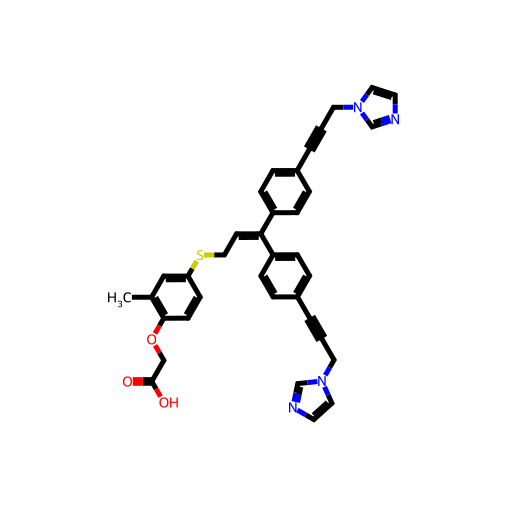 Cc1cc(SCC=C(c2ccc(C#CCn3ccnc3)cc2)c2ccc(C#CCn3ccnc3)cc2)ccc1OCC(=O)O